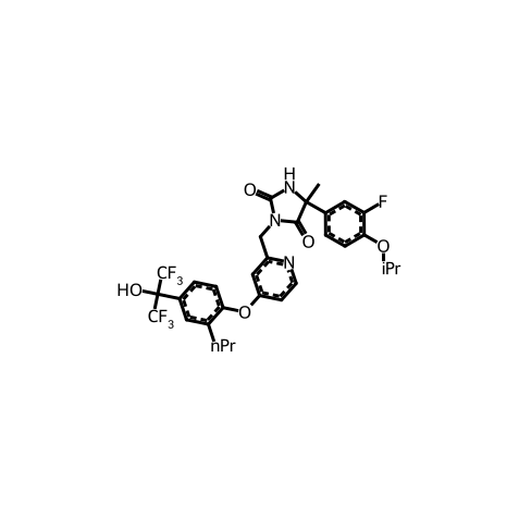 CCCc1cc(C(O)(C(F)(F)F)C(F)(F)F)ccc1Oc1ccnc(CN2C(=O)NC(C)(c3ccc(OC(C)C)c(F)c3)C2=O)c1